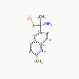 Cc1ccc2cc(C(C)(N)CO)ccc2n1